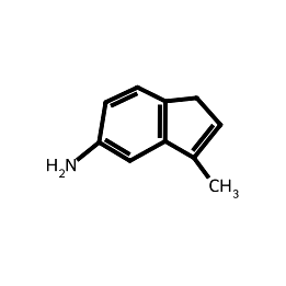 CC1=CCc2ccc(N)cc21